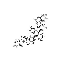 C1=CC2c3ccccc3OC2c2oc3ccc(-c4c5ccccc5c(-c5cccc(-c6cccc7ccccc67)c5)c5ccccc45)cc3c21